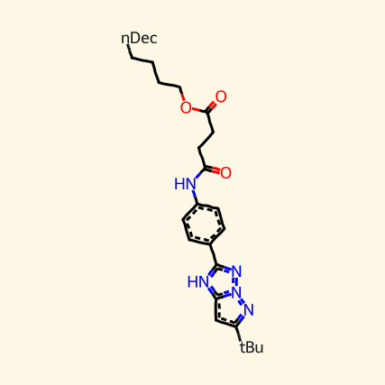 CCCCCCCCCCCCCCOC(=O)CCC(=O)Nc1ccc(-c2nn3nc(C(C)(C)C)cc3[nH]2)cc1